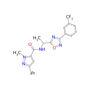 CC(C)c1cc(C(=O)NC(C)c2nc(-c3cccc(C(F)(F)F)c3)no2)n(C)n1